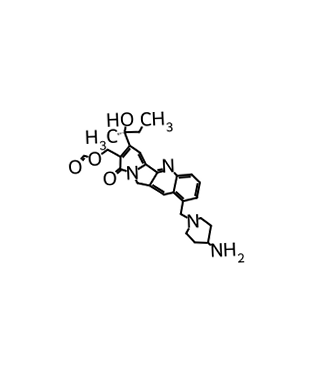 CC[C@](C)(O)c1cc2n(c(=O)c1COC=O)Cc1cc3c(CN4CCC(N)CC4)cccc3nc1-2